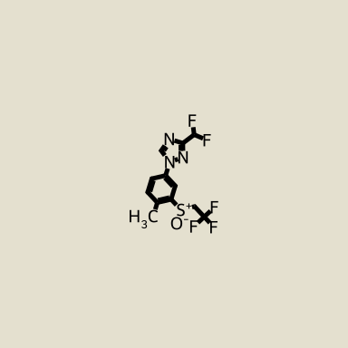 Cc1ccc(-n2cnc(C(F)F)n2)cc1[S+]([O-])CC(F)(F)F